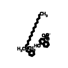 CCCCCCCCCCCCCCCC[N+](C)(C)Cc1ccccc1.O=S(=O)([O-])c1ccc(O)c2ccccc12